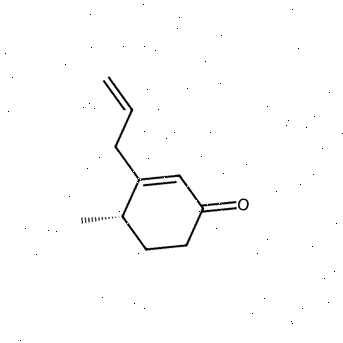 C=CCC1=CC(=O)CC[C@@H]1C